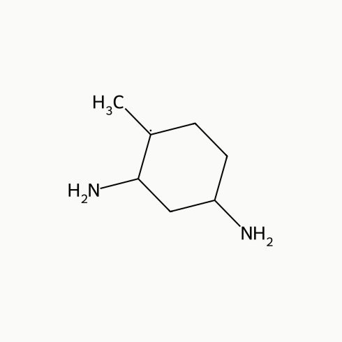 C[C]1CCC(N)CC1N